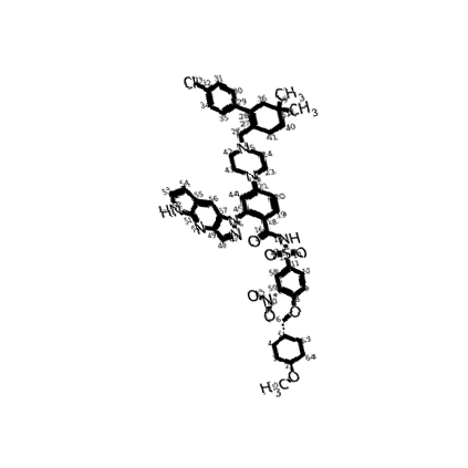 CO[C@H]1CC[C@H](COc2ccc(S(=O)(=O)NC(=O)c3ccc(N4CCN(CC5=C(c6ccc(Cl)cc6)CC(C)(C)CC5)CC4)cc3-n3ncc4nc5[nH]ccc5cc43)cc2[N+](=O)[O-])CC1